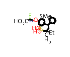 CCC1(C)CC(c2ccccc2)c2cc(SC)c(O/C=C(\F)C(=O)O)cc2S(O)(O)C1